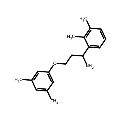 Cc1cc(C)cc(OCCC(N)c2cccc(C)c2C)c1